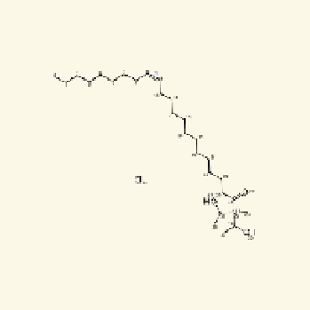 CCCCCCCC/C=C\CCCCCCCCCCCC(=O)[N+](C)(C(C)O)C(C)O.[Cl-]